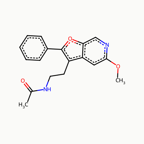 COc1cc2c(CCNC(C)=O)c(-c3ccccc3)oc2cn1